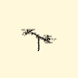 C#CCOCCOCCOCCOCCC(=O)N(CC(=O)NCCCNC(=O)CO[C@@H]([C@@H]1OC(C(=O)O)=C[C@H](NC(=N)N)[C@H]1C)[C@H](O)CO)CC(=O)NCCCNC(=O)CO[C@@H]([C@@H]1OC(C(=O)O)=C[C@H](NC(=N)N)[C@H]1NC(C)=O)[C@H](O)CO